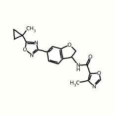 Cc1ncoc1C(=O)NC1COc2cc(-c3noc(C4(C)CC4)n3)ccc21